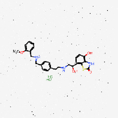 COc1ccccc1CNCc1ccc(CCNC[C@H](O)c2ccc(O)c3[nH]c(=O)sc23)cc1.Cl.Cl